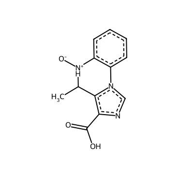 CC1c2c(C(=O)O)ncn2-c2ccccc2[NH+]1[O-]